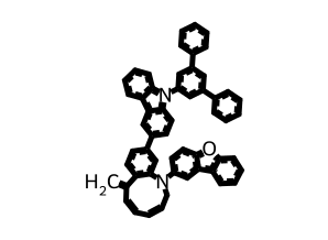 C=C1/C=C\C=C/CN(c2ccc3oc4ccccc4c3c2)c2cc(-c3ccc4c(c3)c3ccccc3n4-c3cc(-c4ccccc4)cc(-c4ccccc4)c3)ccc21